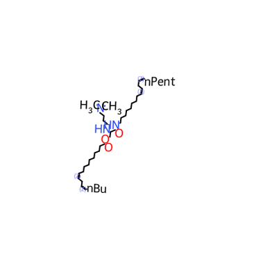 CCCC/C=C\C/C=C\CCCCCCCCC(=O)OCC(NCCCCN(C)C)C(=O)NCCCCCCCC/C=C\C/C=C\CCCCC